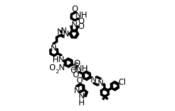 CC1(C)CCC(CN2CCN(c3ccc(C(=O)NS(=O)(=O)c4ccc(NCC5CCCN(CCCc6cn(-c7cccc8c7CN(C7CCC(=O)NC7=O)C8=O)nn6)C5)c([N+](=O)[O-])c4)c(Oc4cnc5[nH]ccc5c4)c3)CC2)=C(c2ccc(Cl)cc2)C1